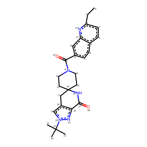 CCc1ccc2ccc(C(=O)N3CCC4(CC3)Cc3cn(C(C)(C)C)nc3C(=O)N4)cc2n1